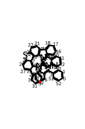 c1ccc(C2=c3ccccc3=NC(n3c4ccccc4c4ccc5sc6ccc7c8ccccc8n(-c8ccc9ccccc9c8)c7c6c5c43)N2)cc1